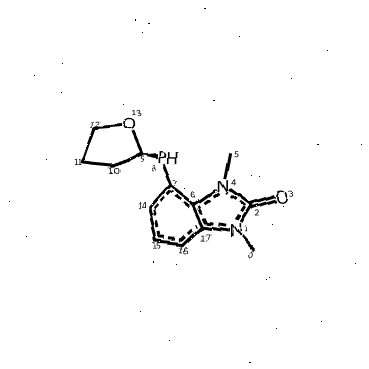 Cn1c(=O)n(C)c2c(P[C@H]3CCCO3)cccc21